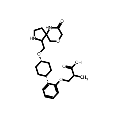 CC(COc1ccccc1[C@H]1CC[C@@H](OCC2NCCC23COCC(=O)N3)CC1)C(=O)O